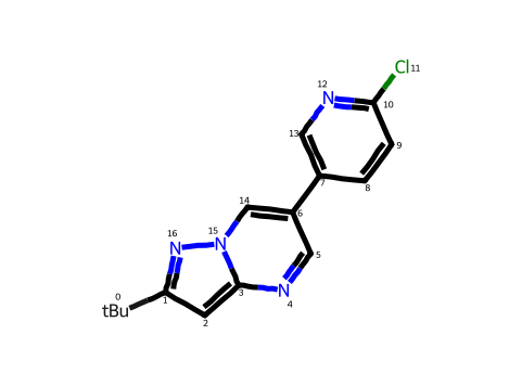 CC(C)(C)c1cc2ncc(-c3ccc(Cl)nc3)cn2n1